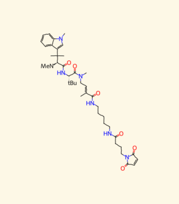 CN[C@H](C(=O)N[C@H](C(=O)N(C)C/C=C(\C)C(=O)NCCCCCNC(=O)CCCN1C(=O)C=CC1=O)C(C)(C)C)C(C)(C)c1cn(C)c2ccccc12